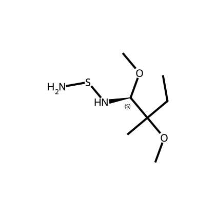 CCC(C)(OC)[C@@H](NSN)OC